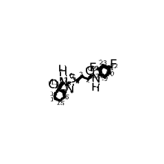 O=C(CCCSc1nc2c(c(=O)[nH]1)CCCC2)Nc1ccc(F)cc1F